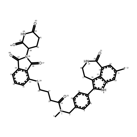 CN(Cc1ccc(-c2[nH]c3cc(F)cc4c3c2CCNC4=O)cc1)C(=O)CCCSc1cccc2c1C(=O)N(C1CCC(=O)NC1=O)C2=O